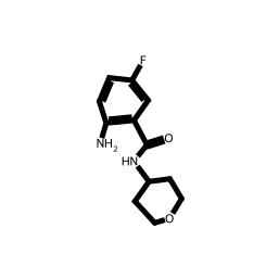 Nc1ccc(F)cc1C(=O)NC1CCOCC1